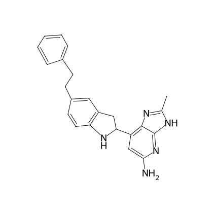 Cc1nc2c(C3Cc4cc(CCc5ccccc5)ccc4N3)cc(N)nc2[nH]1